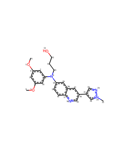 COc1cc(OC)cc(N(CCCO)c2ccc3ncc(-c4cnn(C)c4)cc3c2)c1